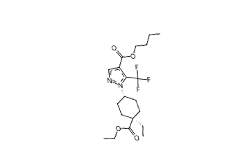 CCCCOC(=O)c1cnn([C@H]2CC[C@](CC)(C(=O)OCC)CC2)c1C(F)(F)F